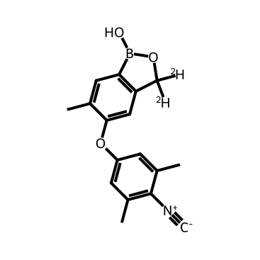 [2H]C1([2H])OB(O)c2cc(C)c(Oc3cc(C)c([N+]#[C-])c(C)c3)cc21